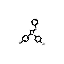 Oc1ccc(N2/C(=N/c3ccccc3)CC2c2ccc(Cl)cc2)cc1